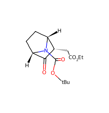 CCOC(=O)C[C@@H]1C(=O)[C@@H]2CC[C@H]1N2C(=O)OC(C)(C)C